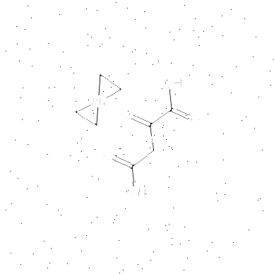 CC(=O)CC(=O)C(=O)O.[CH2]1[CH2][Rh]12[CH2][CH2]2